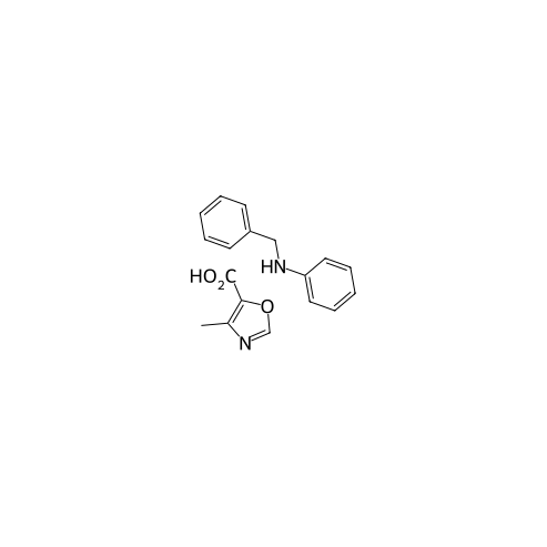 Cc1ncoc1C(=O)O.c1ccc(CNc2ccccc2)cc1